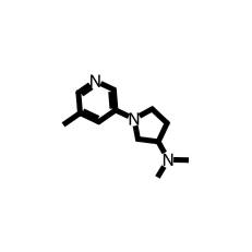 Cc1cncc(N2CCC(N(C)C)C2)c1